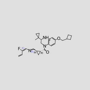 C=C/C(F)=C\N=C\[C@@H]1C[C@H]1C(=O)N(CC(N)C1(C)CC1)c1ccc(OCC2CCC2)cc1